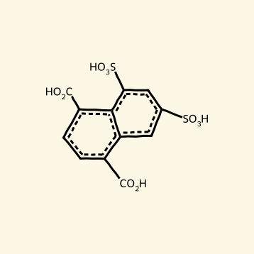 O=C(O)c1ccc(C(=O)O)c2c(S(=O)(=O)O)cc(S(=O)(=O)O)cc12